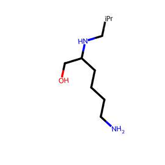 CC(C)CNC(CO)CCCCN